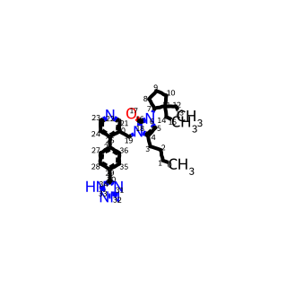 CCCCc1cn(C2CCCC2(CC)CC)c(=O)n1Cc1cnccc1-c1ccc(-c2nnn[nH]2)cc1